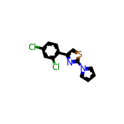 Clc1ccc(-c2csc(-n3cccc3)n2)c(Cl)c1